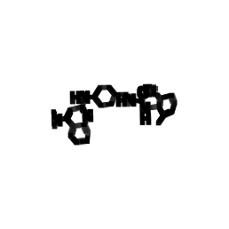 CCc1cccc(C)c1NC(=O)NCC1CCC(Nc2cc(N(C)C)c3ccccc3n2)CC1